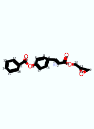 O=C(/C=C/c1ccc(OC(=O)c2ccccc2)cc1)OCC1CO1